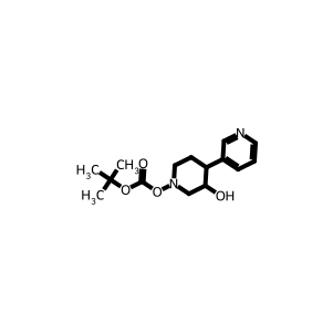 CC(C)(C)OC(=O)ON1CCC(c2cccnc2)C(O)C1